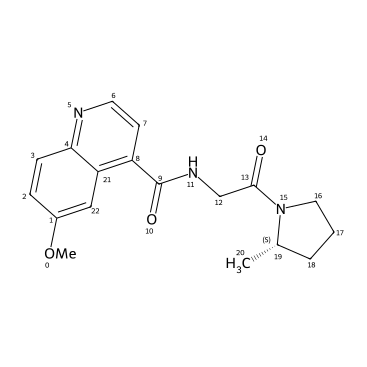 COc1ccc2nccc(C(=O)NCC(=O)N3CCC[C@@H]3C)c2c1